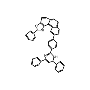 C1=C(c2ccccc2)N=C(c2ccc(-c3ccc4ccc5ccc6c(c5c4c3)NC(c3ccccc3)O6)cc2)NC1c1ccccc1